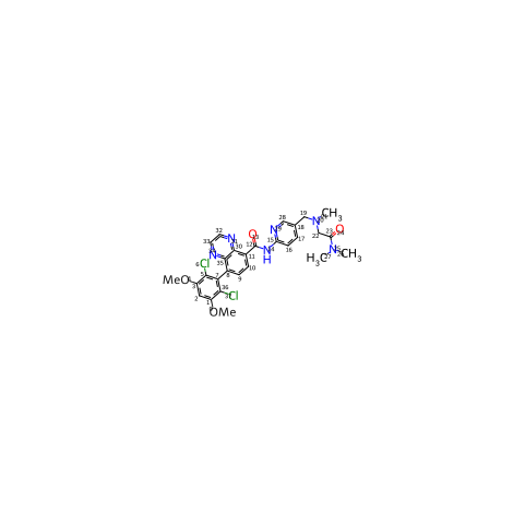 COc1cc(OC)c(Cl)c(-c2ccc(C(=O)Nc3ccc(CN(C)CC(=O)N(C)C)cn3)c3nccnc23)c1Cl